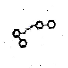 [C](=N\OCc1ccccc1-c1ccccc1)/c1ccc(C2CCCCC2)cc1